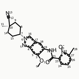 COc1cc2nn([C@H]3CC[C@](C)(C#N)CC3)cc2cc1NC(=O)c1cccc(C)[n+]1[O-]